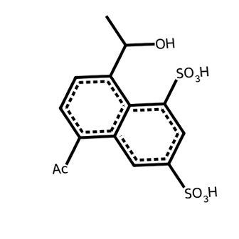 CC(=O)c1ccc(C(C)O)c2c(S(=O)(=O)O)cc(S(=O)(=O)O)cc12